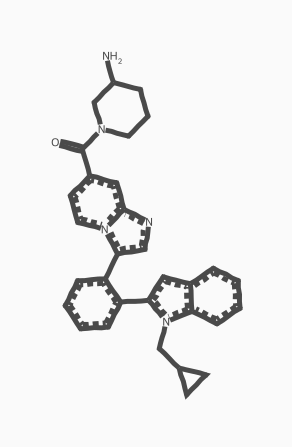 NC1CCCN(C(=O)c2ccn3c(-c4ccccc4-c4cc5ccccc5n4CC4CC4)cnc3c2)C1